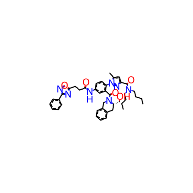 CCCCN(CCCC)C(=O)c1cc(C)n(-c2ccc(NC(=O)CCc3nc(-c4ccccc4)no3)cc2C(=O)N2Cc3ccccc3C[C@H]2CO)n1